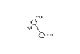 Nc1ncc(C(=O)O)cc1C#Cc1cccc(C=O)c1